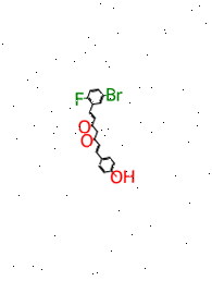 O=C(C=Cc1ccc(O)cc1)CC(=O)C=Cc1cc(Br)ccc1F